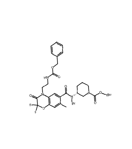 Cc1cc2c(cc1C(=O)N(C(C)C)[C@@H]1CCCN(C(=O)OC(C)(C)C)C1)N(CCNC(=O)OCc1ccccc1)C(=O)C(F)(F)O2